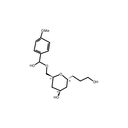 COc1ccc(C(O)OC[C@@H]2C[C@H](O)C[C@@H](CCCO)O2)cc1